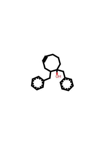 OC1(Cc2ccccc2)CCCC#CCC1Cc1ccccc1